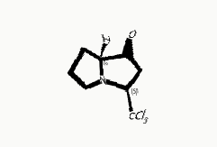 O=C1C[C@@H](C(Cl)(Cl)Cl)N2CCC[C@H]12